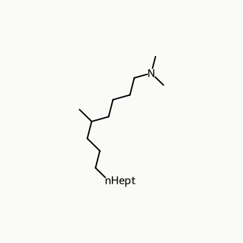 CCCCCCCCCCC(C)CCCCN(C)C